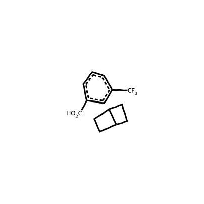 C1CC2CCC12.O=C(O)c1cccc(C(F)(F)F)c1